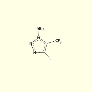 CCCCn1nnc(C)c1C(F)(F)F